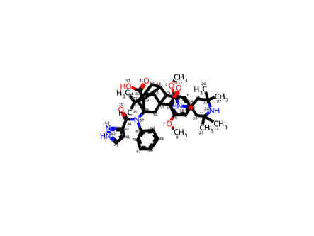 COc1cccc(OC)c1C12CC3CC(C1C(=O)NC1CC(C)(C)NC(C)(C)C1)C(C(=O)O)(C(C)C)C(N(C(=O)c1cc[nH]n1)c1ccccc1)(C3)C2